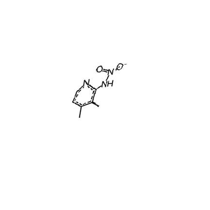 Cc1ccnc(N[N+](=O)[O-])c1C